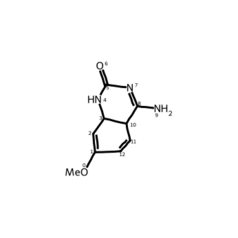 COC1=CC2NC(=O)N=C(N)C2C=C1